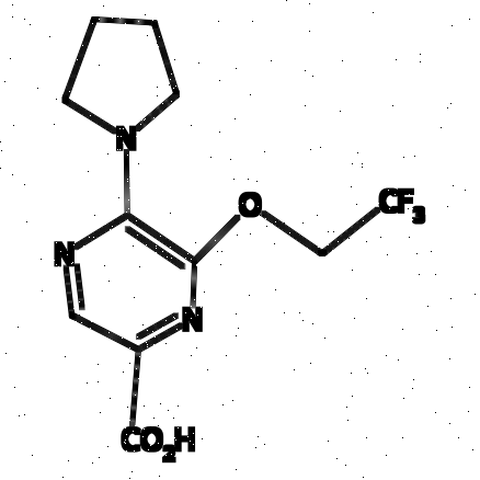 O=C(O)c1cnc(N2CCCC2)c(OCC(F)(F)F)n1